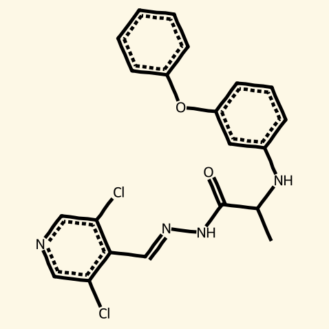 CC(Nc1cccc(Oc2ccccc2)c1)C(=O)N/N=C/c1c(Cl)cncc1Cl